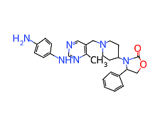 Cc1nc(Nc2ccc(N)cc2)ncc1CN1CCC(N2C(=O)OCC2c2ccccc2)CC1